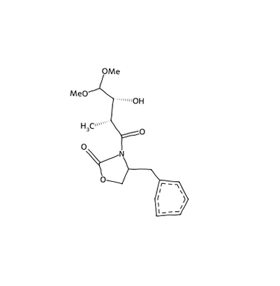 COC(OC)[C@H](O)[C@@H](C)C(=O)N1C(=O)OCC1Cc1ccccc1